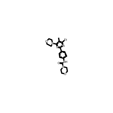 CCc1nc(-c2ccc(NC(=O)N3CCOCC3)cc2)nc(N2CCOCC2)c1C